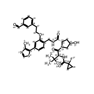 Cc1ncsc1-c1ccc(CNC(=O)[C@@H]2C[C@@H](O)CN2C(=O)[C@@H](NC(=O)C2(F)CC2)C(C)(C)C)c(OCCc2cccc(C=O)c2)c1